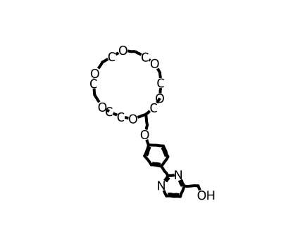 OCc1ccnc(-c2ccc(OCC3COCCOCCOCCOCCOCCO3)cc2)n1